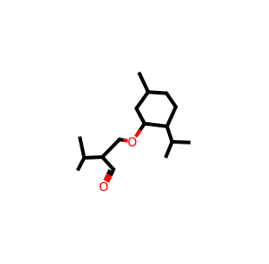 CC1CCC(C(C)C)C(OCC(C=O)C(C)C)C1